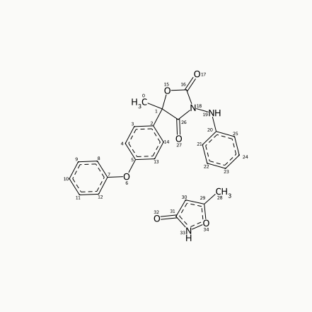 CC1(c2ccc(Oc3ccccc3)cc2)OC(=O)N(Nc2ccccc2)C1=O.Cc1cc(=O)[nH]o1